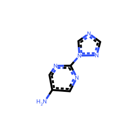 Nc1cnc(-n2cncn2)nc1